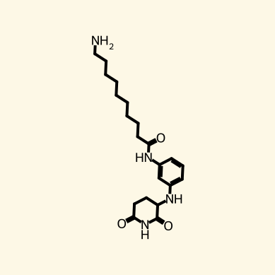 NCCCCCCCCCC(=O)Nc1cccc(NC2CCC(=O)NC2=O)c1